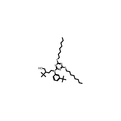 CCCCCCCCSc1nc(SCCCCCCCC)nc(N(CCC(CO)C(C)(C)C)c2cccc(C(C)(C)C)c2)n1